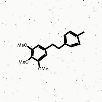 COc1cc(CCc2ccc(C)cc2)cc(OC)c1OC